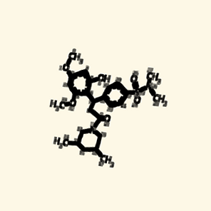 COc1cc(O)c(C(CC(=O)N2CC(C)CC(C)C2)c2ccc(S(=O)(=O)N(C)C)cc2)c(OC)c1